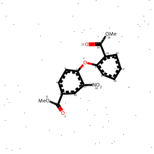 COC(=O)c1ccc(Oc2ccccc2C(=O)OC)c([N+](=O)[O-])c1